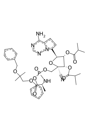 CC(C)C(=O)O[C@H]1[C@H](c2ccc3c(N)ncnn23)O[C@](C#N)(COP(=O)(N[C@@H](C)C(=O)OCC(C)(C)OCc2ccccc2)Oc2ccccc2)[C@H]1OC(=O)C(C)C